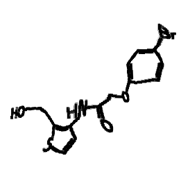 O=C(COc1ccc(Br)cc1)Nc1ccsc1CO